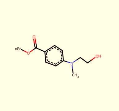 CCCOC(=O)c1ccc(N(C)CCO)cc1